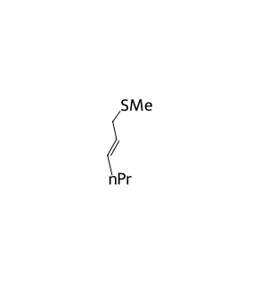 [CH2]CC/C=C/CSC